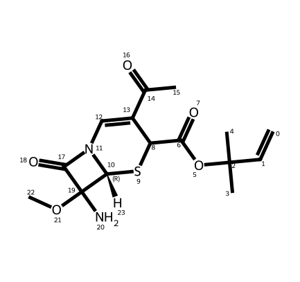 C=CC(C)(C)OC(=O)C1S[C@H]2N(C=C1C(C)=O)C(=O)C2(N)OC